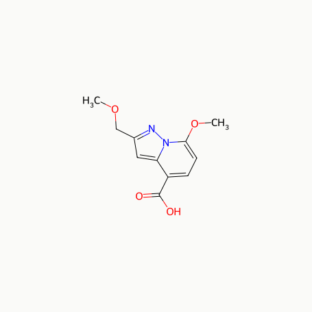 COCc1cc2c(C(=O)O)ccc(OC)n2n1